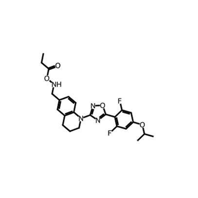 CCC(=O)ONCc1ccc2c(c1)CCCN2c1noc(-c2c(F)cc(OC(C)C)cc2F)n1